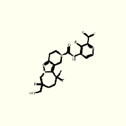 O=C(Nc1ccnc(C(F)F)c1F)N1CCc2nn3c(c2C1)C(F)(F)CCC(F)(CO)C3